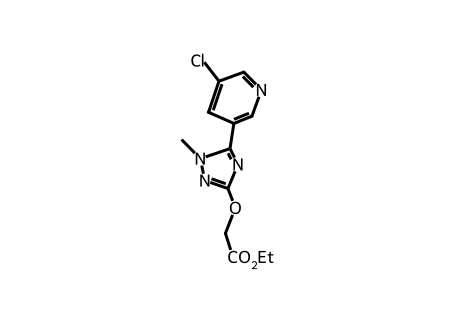 CCOC(=O)COc1nc(-c2cncc(Cl)c2)n(C)n1